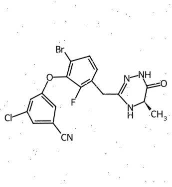 C[C@H]1NC(Cc2ccc(Br)c(Oc3cc(Cl)cc(C#N)c3)c2F)=NNC1=O